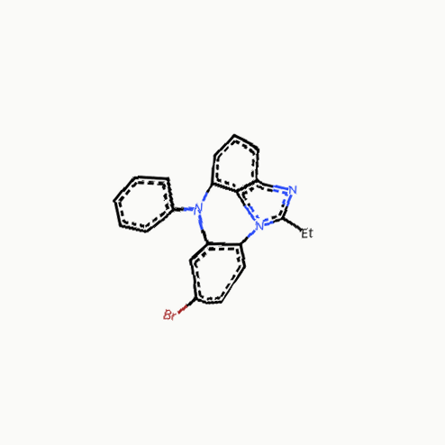 CCc1nc2cccc3c2n1-c1ccc(Br)cc1N3c1ccccc1